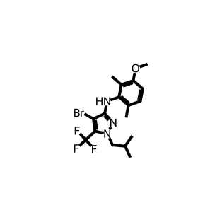 COc1ccc(C)c(Nc2nn(CC(C)C)c(C(F)(F)F)c2Br)c1C